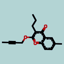 CC#CCOc1oc2ccc(C)cc2c(=O)c1CCC